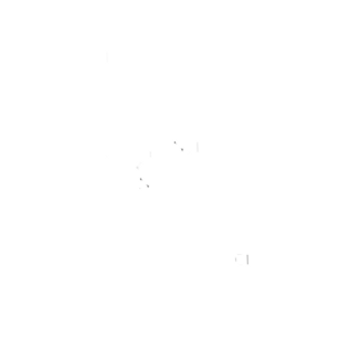 CCCCCCCCC1CCN(CCCCCCCC)C1=O.[NaH]